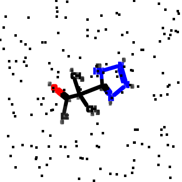 CCC(=O)C(C)(C)c1nnn[nH]1